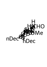 CCCCCCCCCCCCOCC(COCCCCCCCCCCCC)OC(=O)C1C=CS[C@@H]2C(NC(=O)/C(=N\OC)c3csc(NC=O)n3)C(=O)N12